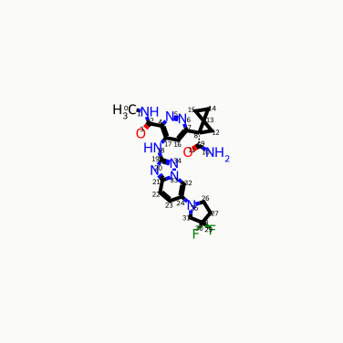 CNC(=O)c1nnc([C@]2(C(N)=O)CC23CC3)cc1Nc1nc2ccc(N3CCC(F)(F)C3)cn2n1